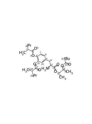 CC(C)C(C)C(=O)Oc1ccc(C[C@H](N)C(=O)O[C@@H](C)C(C)OC(=O)C(C)(C)C)cc1OC(=O)C(C)C(C)C